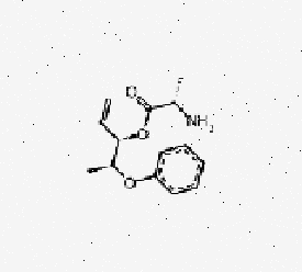 C=C[C@@H](OC(=O)[C@H](C)N)[C@H](C)Oc1ccccc1